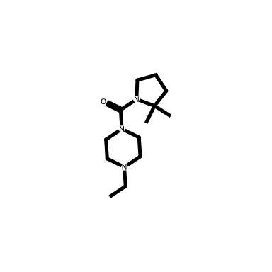 CCN1CCN(C(=O)N2CCCC2(C)C)CC1